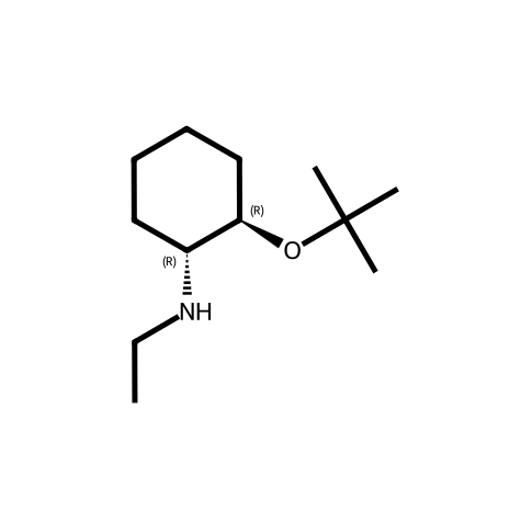 CCN[C@@H]1CCCC[C@H]1OC(C)(C)C